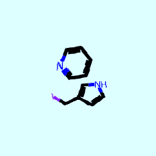 ICc1cc[nH]c1.c1ccncc1